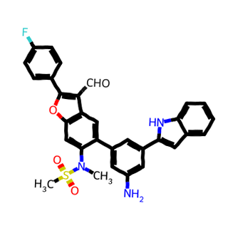 CN(c1cc2oc(-c3ccc(F)cc3)c(C=O)c2cc1-c1cc(N)cc(-c2cc3ccccc3[nH]2)c1)S(C)(=O)=O